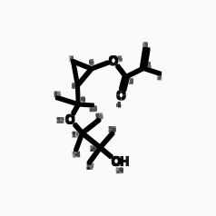 C=C(C)C(=O)OC1CC1C(C)(C)OC(C)(C)C(C)(C)O